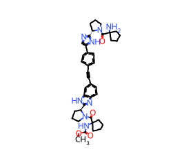 COC(=O)NC1(C(=O)N2CCC[C@H]2c2nc3ccc(C#Cc4ccc(-c5cnc([C@@H]6CCCN6C(=O)C6(N)CCCC6)[nH]5)cc4)cc3[nH]2)CCCC1